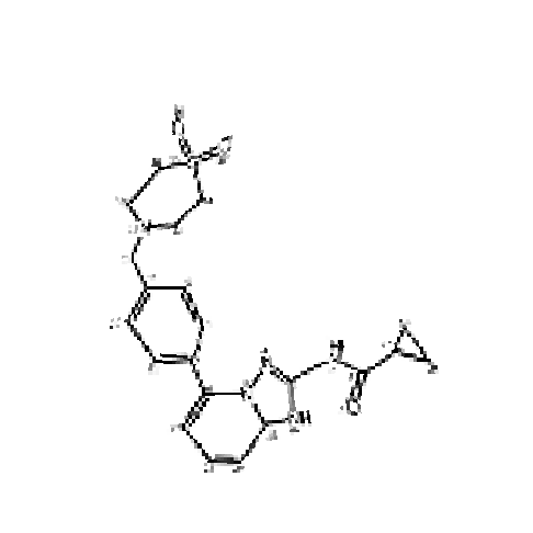 O=C(NC1=NN2C(c3ccc(CN4CCS(=O)(=O)CC4)cc3)=CC=CC2N1)C1CC1